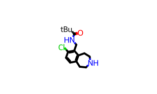 CC(C)(C)C(=O)NCc1c(Cl)ccc2c1CCNCC2